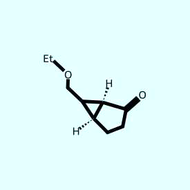 CCOCC1[C@H]2C(=O)CC[C@@H]12